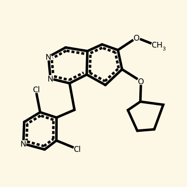 COc1cc2cnnc(Cc3c(Cl)cncc3Cl)c2cc1OC1CCCC1